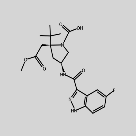 COC(=O)C[C@]1(C(C)(C)C)C[C@H](NC(=O)c2n[nH]c3ccc(F)cc23)CN1C(=O)O